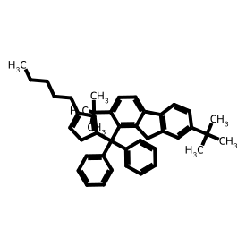 CCCCCC1=CCC(C(c2ccccc2)(c2ccccc2)c2c(C(C)(C)C)ccc3c2Cc2cc(C(C)(C)C)ccc2-3)=C1